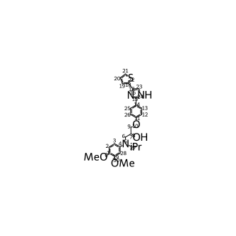 COc1ccc(N(CC(O)COc2ccc(-c3nc(-c4cccs4)c[nH]3)cc2)C(C)C)cc1OC